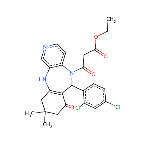 CCOC(=O)CC(=O)N1c2ccncc2NC2=C(C(=O)CC(C)(C)C2)C1c1ccc(Cl)cc1Cl